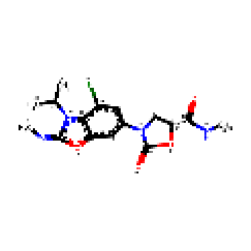 CN=c1oc2cc(N3C[C@H](C(=O)NC)OC3=O)cc(F)c2n1C(C)C